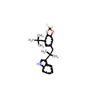 CC(C)(C)c1cc(CC(C)(C)c2c[nH]c3ccccc23)cc2c1OC(F)(F)O2